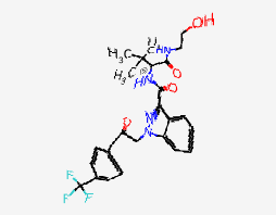 CC(C)(C)[C@H](NC(=O)c1nn(CC(=O)c2ccc(C(F)(F)F)cc2)c2ccccc12)C(=O)NCCO